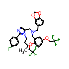 CCCCn1c(CN(Cc2ccc3c(c2)OCO3)Cc2cc(OCC(F)(F)F)ccc2OCC(F)(F)F)cnc1-c1ccc(F)cc1